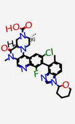 Cc1ccc2c(ncn2C2CCCCO2)c1-c1c(Cl)cc2c3c(cnc2c1F)N(C)C(=O)[C@H]1CN(C(=O)O)[C@H](C)CN31